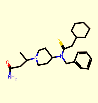 CC(CC(N)=O)N1CCC(N(Cc2ccccc2)C(=S)CC2CCCCC2)CC1